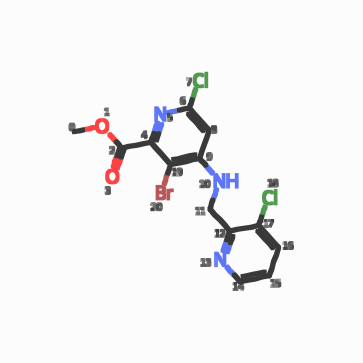 COC(=O)c1nc(Cl)cc(NCc2ncccc2Cl)c1Br